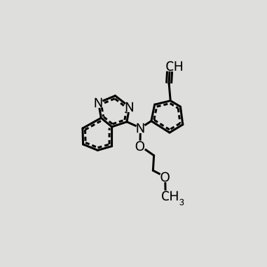 C#Cc1cccc(N(OCCOC)c2ncnc3ccccc23)c1